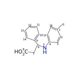 Cc1ccc(NC(CC(=O)O)c2ccccc2)cc1